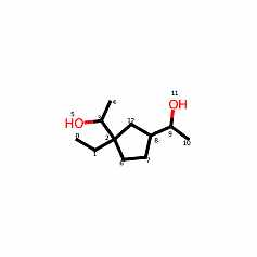 CCC1(C(C)O)CCC(C(C)O)C1